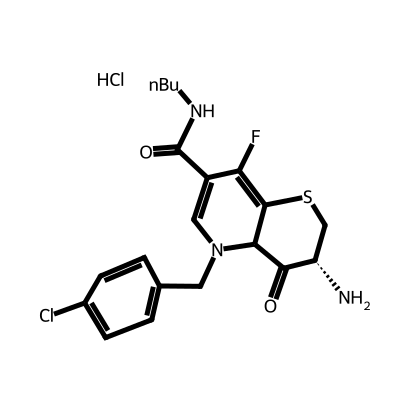 CCCCNC(=O)C1=CN(Cc2ccc(Cl)cc2)C2C(=O)[C@@H](N)CSC2=C1F.Cl